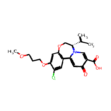 COCCCOc1cc2c(cc1Cl)-c1cc(=O)c(C(=O)O)cn1[C@@H](C(C)C)CO2